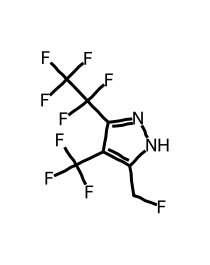 FCc1[nH]nc(C(F)(F)C(F)(F)F)c1C(F)(F)F